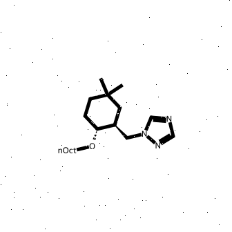 CCCCCCCCO[C@@H]1CCC(C)(C)C[C@H]1Cn1cncn1